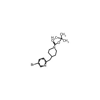 CC(C)(C)OC(=O)N1CCC(Cc2ccc(Br)cn2)CC1